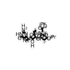 C=C[C@]1(COP(=O)(N[C@@H](C)C(=O)OC(C)C)N[C@@H](C)C(=O)OC(C)C)O[C@@H](n2cnc3c(=O)[nH]c(N)nc32)[C@H](O)[C@@H]1O